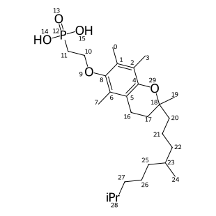 Cc1c(C)c2c(c(C)c1OCCP(=O)(O)O)CCC(C)(CCCC(C)CCCC(C)C)O2